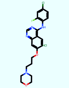 Cl.Fc1cc(Cl)ccc1Nc1ncnc2cc(OCCCN3CCOCC3)ccc12